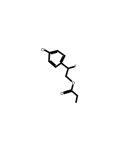 CCC(=O)OCC(F)c1ccc(Cl)cc1